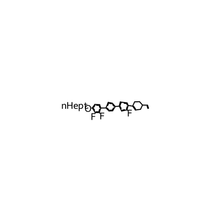 C=CC1CC=C(c2ccc(-c3ccc(-c4ccc(OCCCCCCC)c(F)c4F)cc3)cc2F)CC1